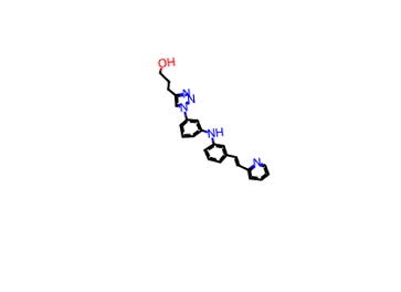 OCCCc1cn(-c2cccc(Nc3cccc(C=Cc4ccccn4)c3)c2)nn1